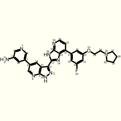 Nc1cncc(-c2cnc3[nH]nc(-c4nc5c(-c6cc(F)cc(OCCN7CCCC7)c6)ccnc5[nH]4)c3c2)c1